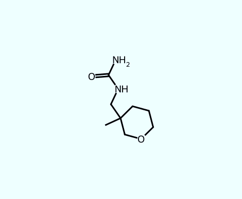 CC1(CNC(N)=O)CCCOC1